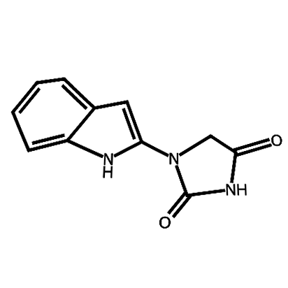 O=C1CN(c2cc3ccccc3[nH]2)C(=O)N1